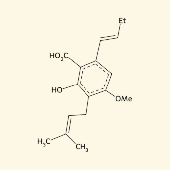 CC/C=C/c1cc(OC)c(CC=C(C)C)c(O)c1C(=O)O